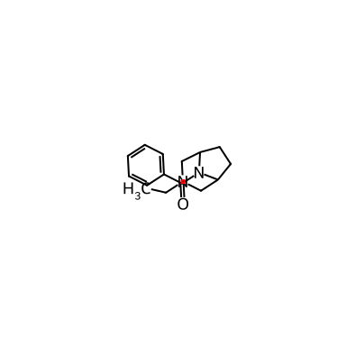 CCN1CC2CCC(C1)N2C(=O)c1ccccc1